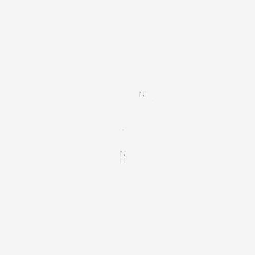 Nc1cccc(C23CCCC(C2)NCC3)c1